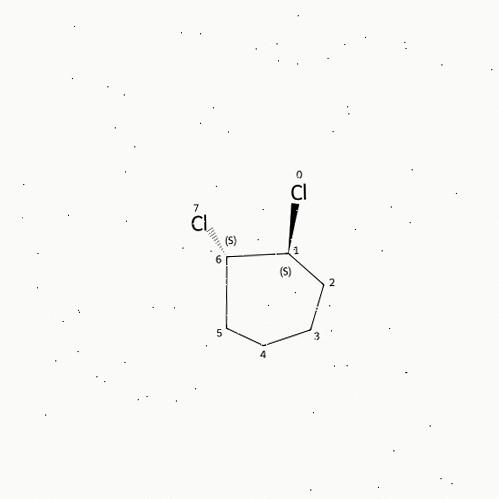 Cl[C@H]1CCCC[C@@H]1Cl